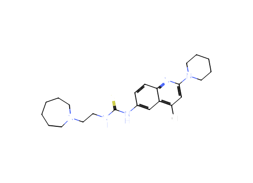 Cc1cc(N2CCCCC2)nc2ccc(NC(=S)NCCN3CCCCCC3)cc12